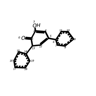 O=C1C(O)=CC(c2ccccc2)=CC1c1ccccc1